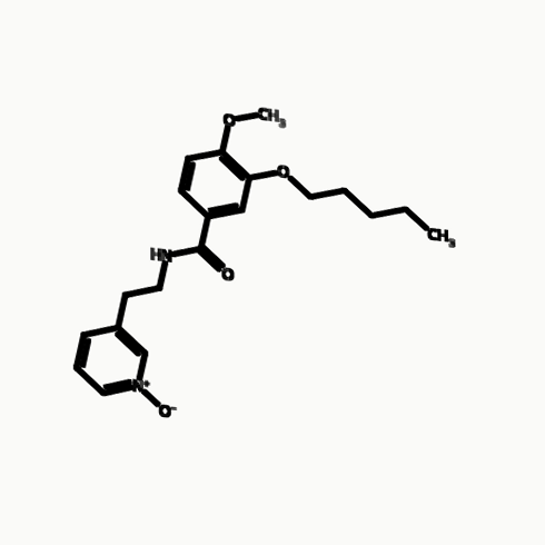 CCCCCOc1cc(C(=O)NCCc2ccc[n+]([O-])c2)ccc1OC